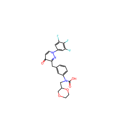 O=C(O)N(CC1COCCO1)c1cccc(Cc2nn(-c3cc(F)c(F)c(F)c3)ccc2=O)c1